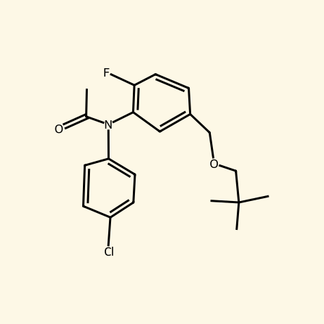 CC(=O)N(c1ccc(Cl)cc1)c1cc(COCC(C)(C)C)ccc1F